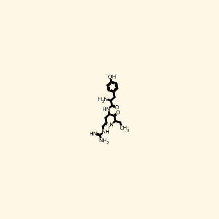 CCC(N)C(=O)C(CCCNC(=N)N)NC(=O)C(N)Cc1ccc(O)cc1